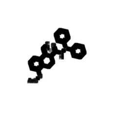 C/C=C1/c2cccc(OOC(C)=O)c2CCC1C(=O)NN(c1ccccc1)c1ccccc1